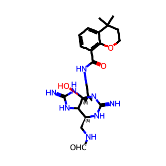 CC1(C)CCOc2c(C(=O)NC3CN4C(=N)N[C@@H](CNC=O)C5NC(=N)NC54[C@@H]3O)cccc21